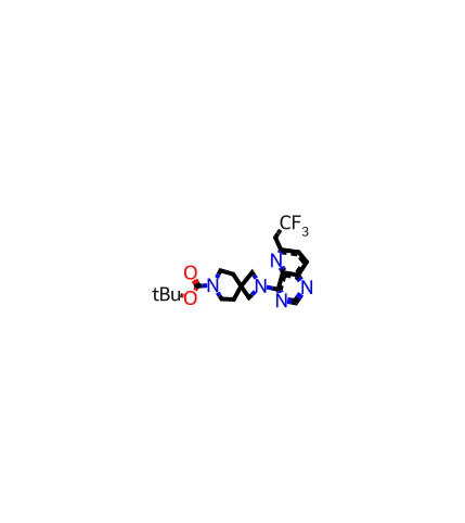 CC(C)(C)OC(=O)N1CCC2(CC1)CN(c1ncnc3ccc(CC(F)(F)F)nc13)C2